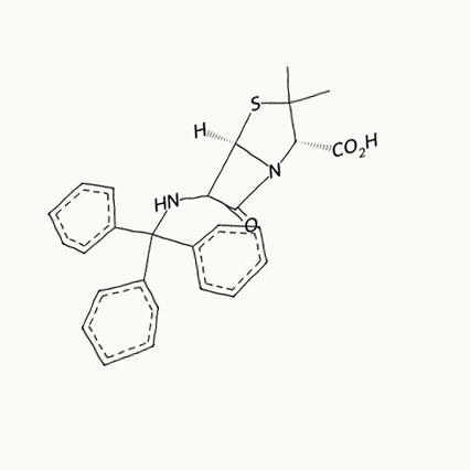 CC1(C)S[C@@H]2C(NC(c3ccccc3)(c3ccccc3)c3ccccc3)C(=O)N2[C@H]1C(=O)O